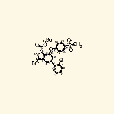 CC(C)(C)OC(=O)n1nc(Br)c2cc(-c3ncccc3Cl)cc(Oc3ccc(S(C)(=O)=O)cc3)c21